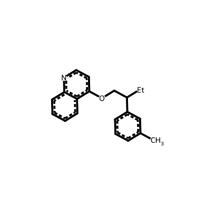 CCC(COc1ccnc2ccccc12)c1cccc(C)c1